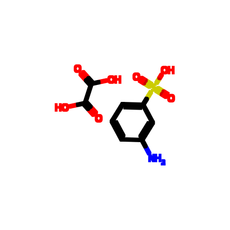 Nc1cccc(S(=O)(=O)O)c1.O=C(O)C(=O)O